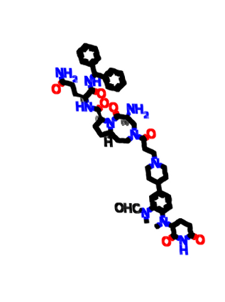 CN(C=O)c1cc(C2CCN(CCC(=O)N3CC[C@H]4CC[C@@H](C(=O)N[C@@H](CCC(N)=O)C(=O)NC(c5ccccc5)c5ccccc5)N4C(=O)[C@@H](N)C3)CC2)ccc1N(C)C1CCC(=O)NC1=O